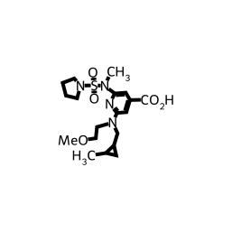 COCCN(CC1CC1C)c1cc(C(=O)O)cc(N(C)S(=O)(=O)N2CCCC2)n1